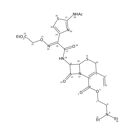 C=CC1=C(C(=O)OCCN(CC)CC)N2C(=O)C(NC(=O)C(=NOCC(=O)OCC)c3csc(NC(C)=O)n3)C2SC1